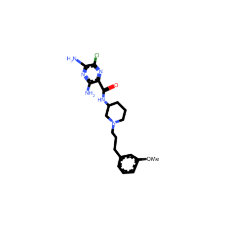 COc1cccc(CCCN2CCCC(NC(=O)c3nc(Cl)c(N)nc3N)C2)c1